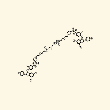 N#Cc1cc(Cl)cc2c1C[C@H](N1CCNCC1)[C@H]2Oc1ccc(S(=O)(=O)N[C@H]2CCN(CCOCCNC(=O)NCCCCNC(=O)NCCOCCN3CC[C@H](NS(=O)(=O)c4ccc(O[C@H]5c6cc(Cl)cc(C#N)c6C[C@@H]5N5CCNCC5)c(F)c4)C3)C2)cc1F